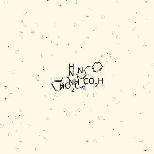 N=C(Cc1ccccc1)Nc1cccc(Cc2ccccc2)n1.O=C(O)/C=C\C(=O)O